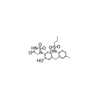 CCCS(=O)(=O)Nc1ccc(C)cc1Cc1ccc(N2CC(=O)NS2(=O)=O)c(O)c1